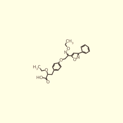 CCON=C(COc1ccc(CC(OCC)C(=O)O)cc1)c1cc(-c2ccccc2)no1